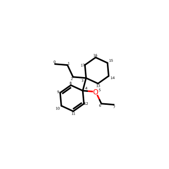 CCCC1(C2(OCC)C=CCC=C2)CCCCC1